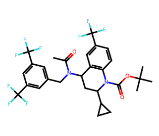 CC(=O)N(Cc1cc(C(F)(F)F)cc(C(F)(F)F)c1)C1CC(C2CC2)N(C(=O)OC(C)(C)C)c2ccc(C(F)(F)F)cc21